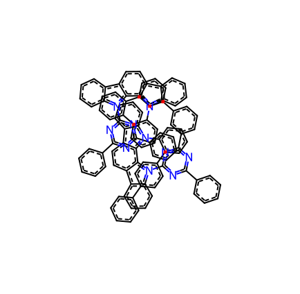 c1ccc(-c2ccc(-c3ccccc3-n3c4ccccc4c4ccc5c6ccccc6n(-c6nc(-c7ccccc7)nc(-c7cccc(-c8cccc(-c9ccccc9-c9ccccc9-n9c%10ccccc%10c%10ccc%11c%12ccccc%12n(-c%12nc(-c%13ccccc%13)nc(-c%13ccccc%13)n%12)c%11c%109)c8)c7)n6)c5c43)cc2)cc1